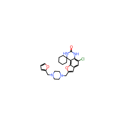 O=C1Nc2c(Cl)cc3cc(CN4CCN(Cc5ccco5)CC4)oc3c2C2(CCCCC2)N1